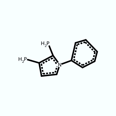 Pc1ccn(-c2ccccc2)c1P